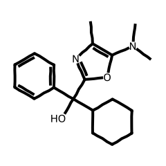 Cc1nc(C(O)(c2ccccc2)C2CCCCC2)oc1N(C)C